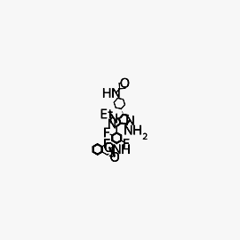 CCn1nc(-c2cc(F)c(NS(=O)(=O)Cc3ccccc3F)cc2F)c2c(N)ncc([C@H]3CC[C@H](NC4COC4)CC3)c21